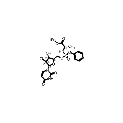 CC(C)OC(=O)[C@H](C)NP(=O)(OC[C@H]1O[C@@H](n2ccc(=O)[nH]c2=O)[C@@](F)(Cl)[C@H]1O)Oc1ccccc1